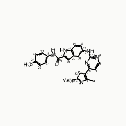 CNc1nc(C)c(-c2ccnc(Nc3ccc4[nH]c(C(=O)Nc5ccc(O)cc5)cc4c3)n2)s1